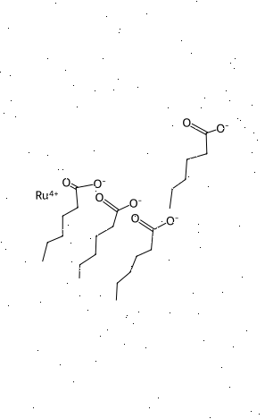 CCCCCC(=O)[O-].CCCCCC(=O)[O-].CCCCCC(=O)[O-].CCCCCC(=O)[O-].[Ru+4]